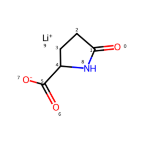 O=C1CCC(C(=O)[O-])N1.[Li+]